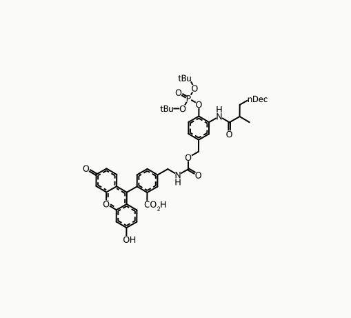 CCCCCCCCCCCC(C)C(=O)Nc1cc(COC(=O)NCc2ccc(-c3c4ccc(=O)cc-4oc4cc(O)ccc34)c(C(=O)O)c2)ccc1OP(=O)(OC(C)(C)C)OC(C)(C)C